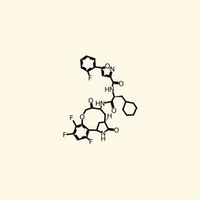 O=C(N[C@@H](CC1CCCCC1)C(=O)N[C@H]1C[C@@H]2CC(NC2=O)c2c(F)cc(F)c(F)c2OCC1=O)c1cc(-c2ccccc2F)on1